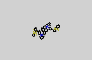 Cc1cccc(C)c1N(c1ccc(-c2cccc3c2Sc2ccccc2S3)cc1)c1ccc2ccc3c(N(c4ccc(-c5cccc6c5Sc5ccccc5S6)cc4)c4c(C)cccc4C)ccc4ccc1c2c43